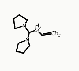 C=C[SiH2]C(N1CCCC1)N1CCCC1